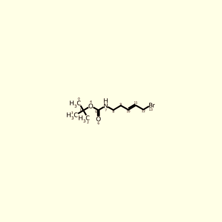 CC(C)(C)OC(=O)NCCC=CCBr